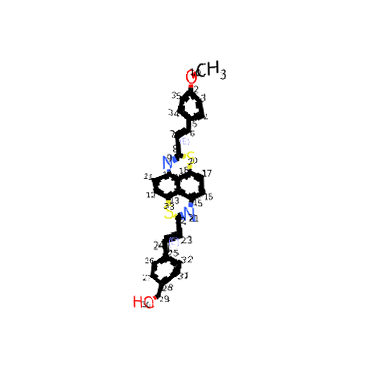 COc1ccc(/C=C/C2=Nc3ccc4c5c(ccc(c35)S2)N=C(/C=C/c2ccc(CO)cc2)S4)cc1